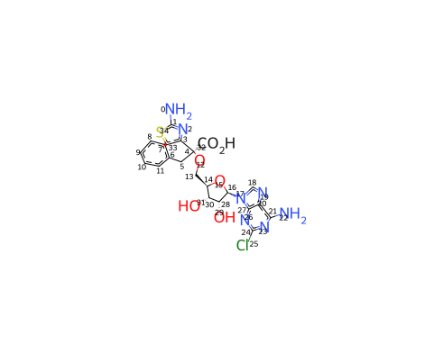 Nc1nc([C@](Cc2ccccc2)(OC[C@H]2O[C@@H](n3cnc4c(N)nc(Cl)nc43)[C@H](O)[C@@H]2O)C(=O)O)cs1